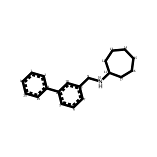 c1ccc(-c2cccc(CNC3CCCCCC3)c2)cc1